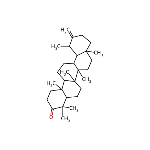 C=C1CCC2(C)CCC3(C)C(CCC4C5(C)CCC(=O)C(C)(C)C5CCC43C)C2C1C